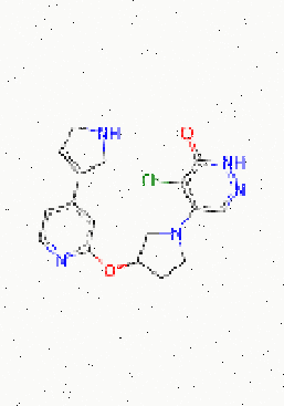 O=c1[nH]ncc(N2CC[C@@H](Oc3cc(C4=CCNC4)ccn3)C2)c1Cl